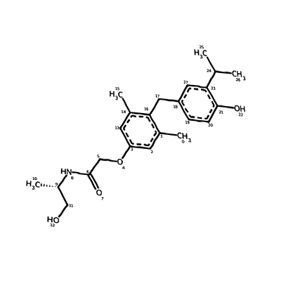 Cc1cc(OCC(=O)N[C@@H](C)CO)cc(C)c1Cc1ccc(O)c(C(C)C)c1